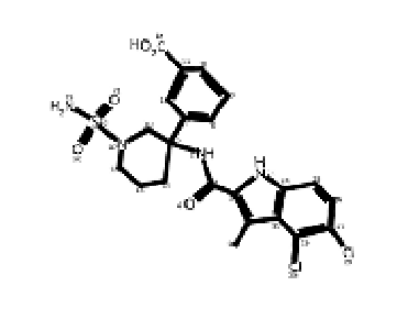 Cc1c(C(=O)NC2(c3cccc(C(=O)O)c3)CCCN(S(N)(=O)=O)C2)[nH]c2ccc(Cl)c(Cl)c12